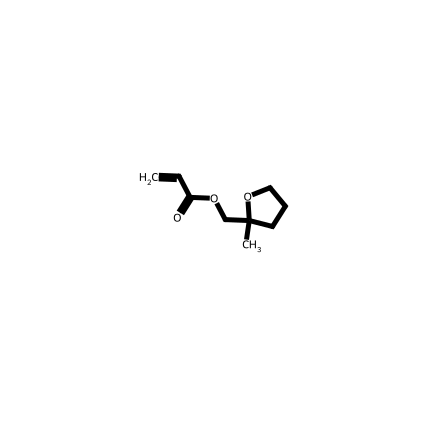 C=CC(=O)OCC1(C)CCCO1